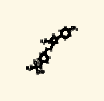 Cc1ccc(-c2cc(CCc3ccc(OC(C)(C)C=O)cc3)c(C)o2)cc1